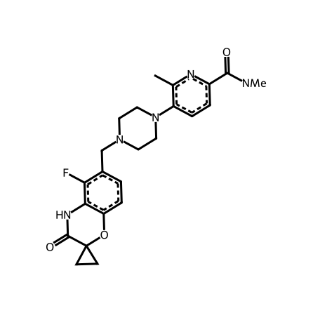 CNC(=O)c1ccc(N2CCN(Cc3ccc4c(c3F)NC(=O)C3(CC3)O4)CC2)c(C)n1